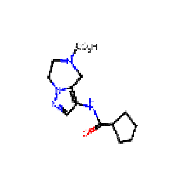 O=C(Nc1cnn2c1CN(C(=O)O)CC2)C1CCCC1